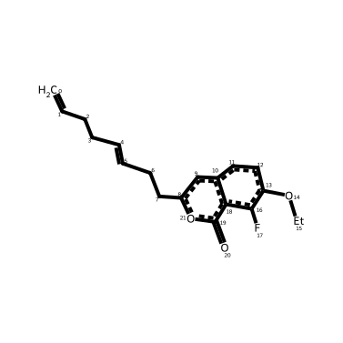 C=CCC/C=C/CCc1cc2ccc(OCC)c(F)c2c(=O)o1